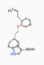 C=CCc1ccccc1OCCc1ccc2[nH]cc(NC(C)=O)c2c1